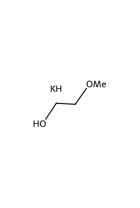 COCCO.[KH]